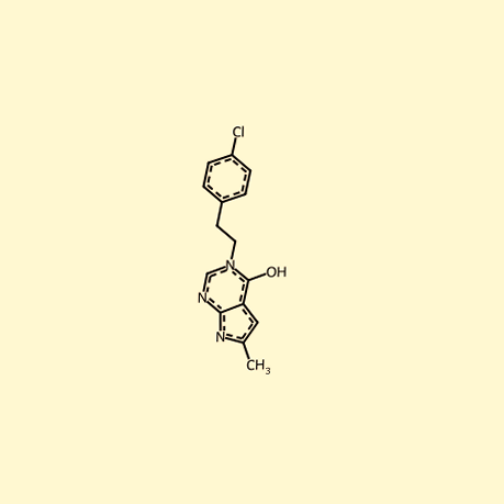 Cc1cc2c(O)n(CCc3ccc(Cl)cc3)cnc-2n1